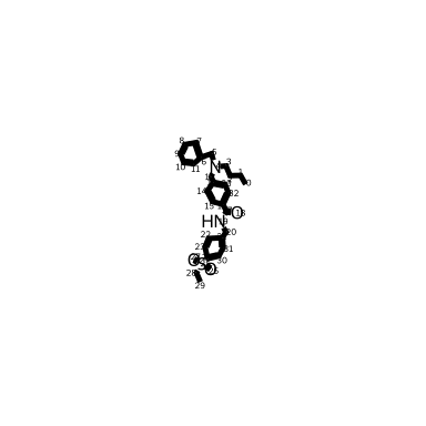 CCCCN(Cc1ccccc1)Cc1ccc(C(=O)NCc2ccc(S(=O)(=O)CC)cc2)cc1